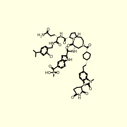 CC(C)c1ccc(CNC(=O)[C@H](CCC(N)=O)NC(=O)[C@@H]2CC[C@@H]3CCN(C(=O)[C@H]4CC[C@@H](CCc5ccc6c(c5)n(C)c(=O)n6C5CCC(=O)NC5=O)CC4)C[C@H](NC(=O)c4cc5cc(C(=O)P(C)(=O)O)ccc5[nH]4)C(=O)N32)c(Cl)c1